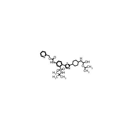 CC(C)OC(O)NC1CCC(c2ncc(-c3ccc(NC(=O)OCc4ccccn4)cc3S(=O)(=O)NC(C)(C)C)s2)CC1